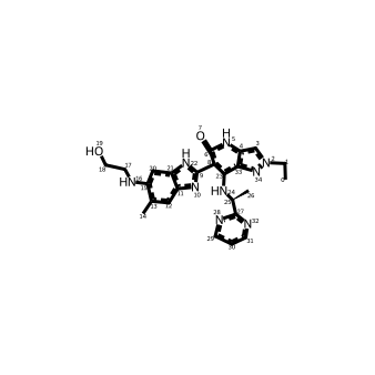 CCn1cc2[nH]c(=O)c(-c3nc4cc(C)c(NCCO)cc4[nH]3)c(N[C@@H](C)c3ncccn3)c2n1